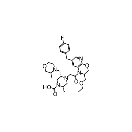 CCOCC1COc2ncc(Cc3ccc(F)cc3)cc2N1C(=O)CN1C[C@@H](C)N(C(=O)O)C[C@@H]1CN1CCOCC1C